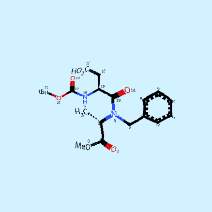 COC(=O)[C@H](C)N(Cc1ccccc1)C(=O)[C@H](CC(=O)O)NC(=O)OC(C)(C)C